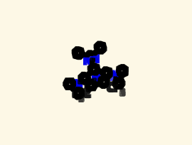 FC(F)(F)c1ccc2c(c1)c1cc(C(F)(F)F)ccc1n2-c1c(-c2ccc(-n3c4ccccc4c4ccccc43)cc2)cc(-c2nc(-c3ccccc3)cc(-c3ccccc3)n2)cc1-c1ccc(-n2c3ccccc3c3ccccc32)cc1